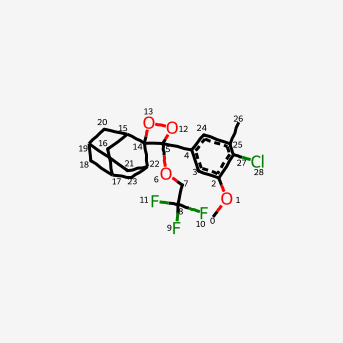 COc1cc(C2(OCC(F)(F)F)OOC23C2CC4CC(C2)CC3C4)cc(C)c1Cl